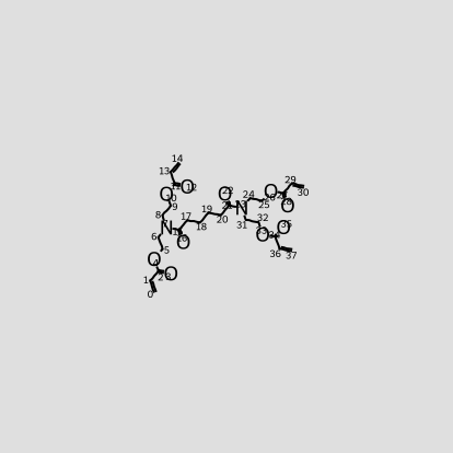 C=CC(=O)OCCN(CCOC(=O)C=C)C(=O)CCCCC(=O)N(CCOC(=O)C=C)CCOC(=O)C=C